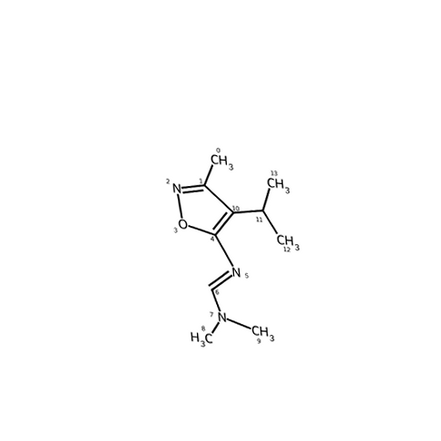 Cc1noc(/N=C/N(C)C)c1C(C)C